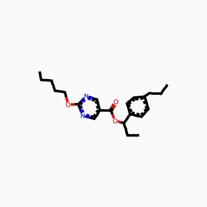 CCCCCOc1ncc(C(=O)OC(CC)c2ccc(CCC)cc2)cn1